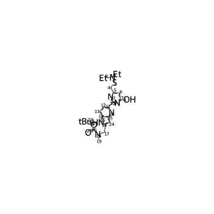 CCN(CC)SCc1cc(O)nc(-c2ccc3[nH]c(CN(C)C(=O)OC(C)(C)C)cc3n2)n1